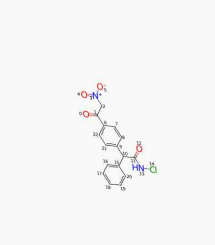 O=C(C[N+](=O)[O-])c1ccc(C(C(=O)NCl)c2ccccc2)cc1